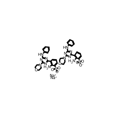 Nc1c(-c2nc(Nc3ccccc3)nc(N3CCOCC3)n2)cccc1S(=O)(=O)[O-].Nc1c(-c2nc(Nc3ccccc3)nc(N3CCOCC3)n2)cccc1S(=O)(=O)[O-].[Na+].[Na+]